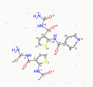 CC(=O)Nc1sccc1C(=O)NC(N)=O.NC(=O)NC(=O)c1ccsc1NC(=O)c1ccncc1